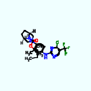 CCc1cc(N2C[C@H]3CC[C@@H](C2)N3C(=O)OC(C)(C)C)ccc1Nc1ncc(C(F)(F)F)c(Cl)n1